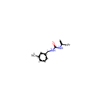 C=C(CCC)NC(=O)NCc1cccc(C#N)c1